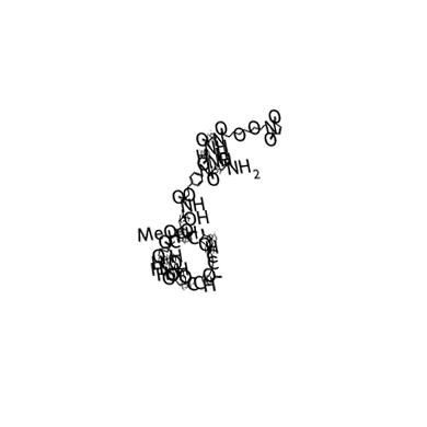 C=C1C[C@@H]2CC[C@@]34CC5O[C@@H]6C(O[C@H]7CCC(CC(=O)C[C@H]8[C@H](CC9O[C@@H](CCC1O2)C[C@@H](C)C9=C)OC(C[C@H](O)CNC(=O)OCc1ccc(NC(=O)[C@H](CC(N)=O)NC(=O)[C@H](C)NC(=O)[C@H](C)NC(=O)CCOCCOCCN2C(=O)C=CC2=O)cc1)[C@@H]8OC)O[C@@H]7[C@@H]6O3)[C@@H]5O4